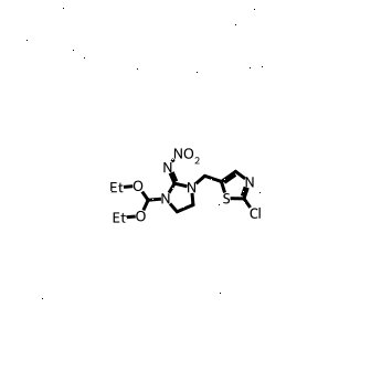 CCOC(OCC)N1CCN(Cc2cnc(Cl)s2)/C1=N\[N+](=O)[O-]